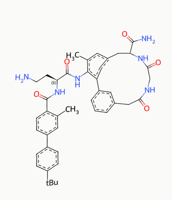 Cc1cc(-c2ccc(C(C)(C)C)cc2)ccc1C(=O)N[C@@H](CCN)C(=O)Nc1c(C)cc2cc1-c1cccc(c1)CC(=O)NCC(=O)NC(C(N)=O)C2